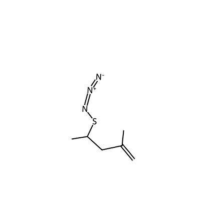 C=C(C)CC(C)SN=[N+]=[N-]